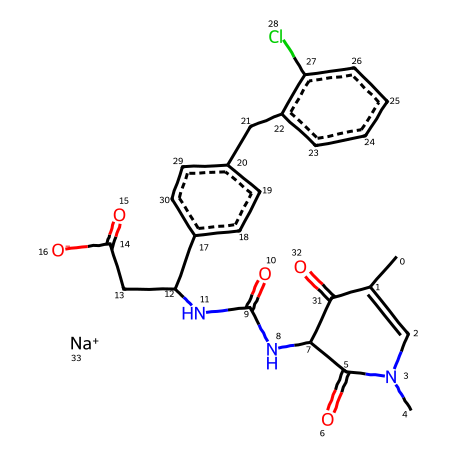 CC1=CN(C)C(=O)C(NC(=O)NC(CC(=O)[O-])c2ccc(Cc3ccccc3Cl)cc2)C1=O.[Na+]